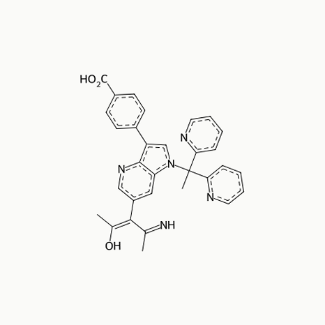 CC(=N)/C(=C(/C)O)c1cnc2c(-c3ccc(C(=O)O)cc3)cn(C(C)(c3ccccn3)c3ccccn3)c2c1